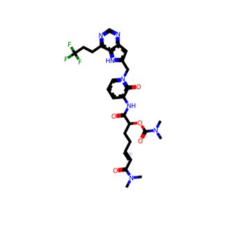 CN(C)C(=O)/C=C/CCC(OC(=O)N(C)C)C(=O)Nc1cccn(Cc2cc3ncnc(CCC(F)(F)F)c3[nH]2)c1=O